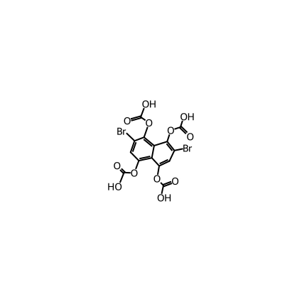 O=C(O)Oc1cc(Br)c(OC(=O)O)c2c(OC(=O)O)c(Br)cc(OC(=O)O)c12